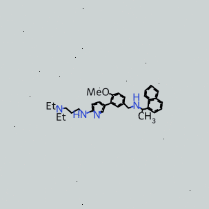 CCN(CC)CCCNc1ccc(-c2cc(CN[C@H](C)c3cccc4ccccc34)ccc2OC)cn1